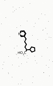 O=C(O)C(CCCCc1cccnc1)C1CCCC1